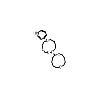 C1=CC=CNC=C1.C1CCCCCC(P2CCCCCCCCCC2)CCCC1